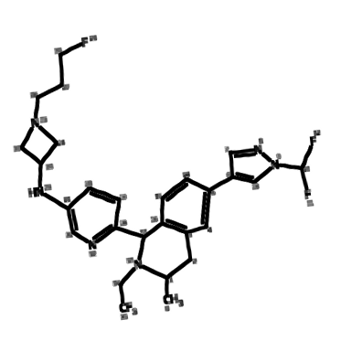 CC1Cc2cc(-c3cnn(C(F)F)c3)ccc2C(c2ccc(NC3CN(CCCF)C3)cn2)N1CC(F)(F)F